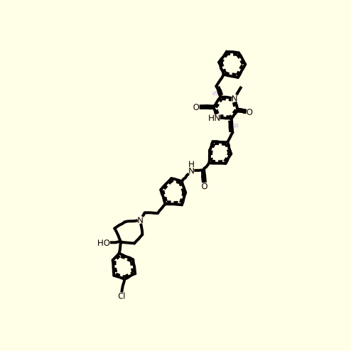 Cn1c(=O)/c(=C/c2ccc(C(=O)Nc3ccc(CCN4CCC(O)(c5ccc(Cl)cc5)CC4)cc3)cc2)[nH]c(=O)/c1=C/c1ccccc1